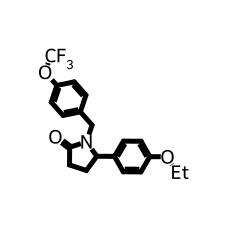 CCOc1ccc(C2CCC(=O)N2Cc2ccc(OC(F)(F)F)cc2)cc1